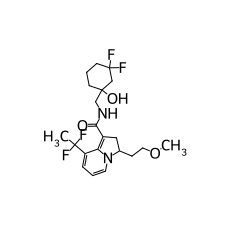 COCCC1CC(C(=O)NCC2(O)CCCC(F)(F)C2)=C2C(C(C)(F)F)=CC=CN21